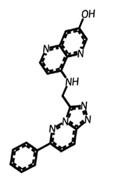 Oc1cnc2c(NCc3nnc4ccc(-c5ccccc5)nn34)ccnc2c1